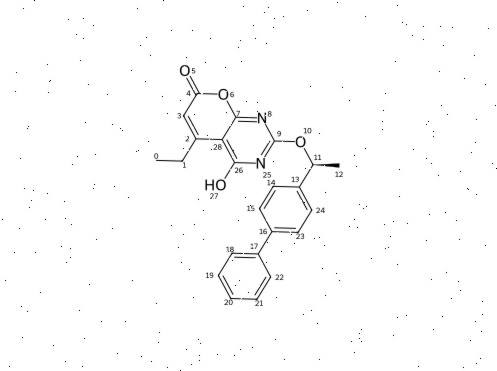 CCc1cc(=O)oc2nc(O[C@@H](C)c3ccc(-c4ccccc4)cc3)nc(O)c12